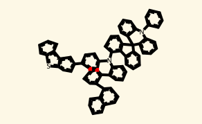 c1ccc(N2c3ccccc3C3(c4ccccc4-c4c(N(c5ccc(-c6ccc7sc8ccccc8c7c6)cc5)c5ccccc5-c5ccccc5-c5cccc6ccccc56)cccc43)c3ccccc32)cc1